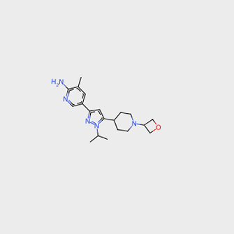 Cc1cc(-c2cc(C3CCN(C4COC4)CC3)n(C(C)C)n2)cnc1N